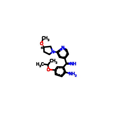 CO[C@H]1CCN(c2cc(C(=N)c3cc(OC(C)C)ccc3N)ccn2)C1